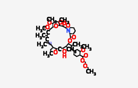 CCOCOC(=O)C1CCC(C=C(C)C2OC(=O)C3CCCCN3C(=O)C(=O)C3(O)OC(C(OC)CC(C)C/C(C)=C/C(CC)C(=O)CC(O)C2C)C(OC)CC3C)CC1OC